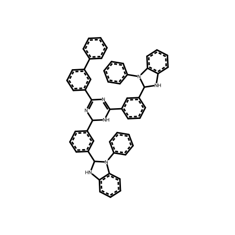 c1ccc(-c2cccc(C3=NC(c4cccc(C5Nc6ccccc6N5c5ccccc5)c4)NC(c4cccc(C5Nc6ccccc6N5c5ccccc5)c4)=N3)c2)cc1